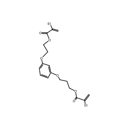 C=C(CC)C(=O)OCCCOc1cccc(OCCOC(=O)C(=C)CC)c1